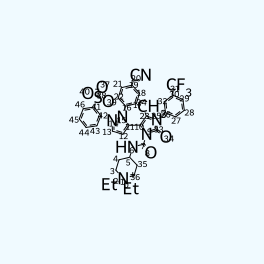 CC[N+]1(CC)CCC(NC(=O)n2c(-c3ccnn3-c3ccc(C#N)cc3)c(C)n(-c3cccc(C(F)(F)F)c3)c2=O)CC1.O=S(=O)([O-])c1ccccc1